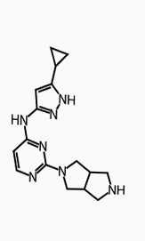 c1cc(Nc2cc(C3CC3)[nH]n2)nc(N2CC3CNCC3C2)n1